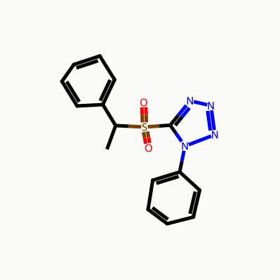 CC(c1ccccc1)S(=O)(=O)c1nnnn1-c1ccccc1